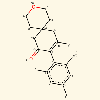 CCc1cc(C)cc(C)c1C1=C(C)CC2(CCOCC2)CC1=O